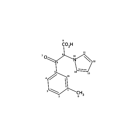 Cc1cccc(C(=O)C(C(=O)O)n2cccc2)c1